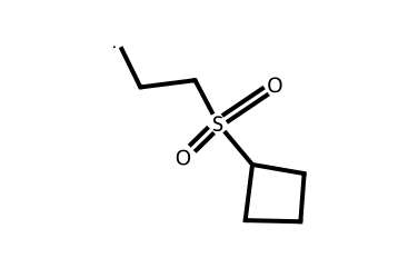 [CH2]CCS(=O)(=O)C1CCC1